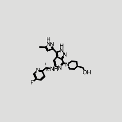 Cc1cc(-c2[nH]nc3c(N4CCC(CO)CC4)nc(N[C@@H](C)c4ccc(F)cn4)cc23)n[nH]1